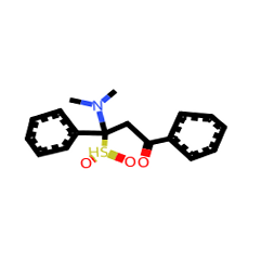 CN(C)C(CC(=O)c1ccccc1)(c1ccccc1)[SH](=O)=O